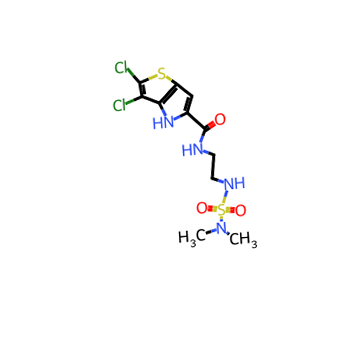 CN(C)S(=O)(=O)NCCNC(=O)c1cc2sc(Cl)c(Cl)c2[nH]1